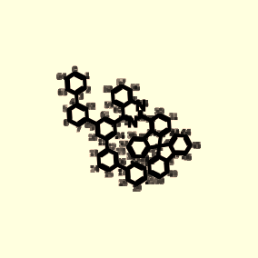 c1ccc(-c2cccc(-c3cc(-c4cccc(-c5ccccc5)c4)cc(-c4nc(-c5cccc6c5-c5ccccc5C65c6ccccc6-c6ccccc65)nc5ccccc45)c3)c2)cc1